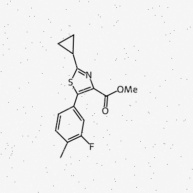 COC(=O)c1nc(C2CC2)sc1-c1ccc(C)c(F)c1